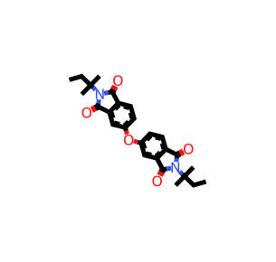 CCC(C)(C)N1C(=O)c2ccc(Oc3ccc4c(c3)C(=O)N(C(C)(C)CC)C4=O)cc2C1=O